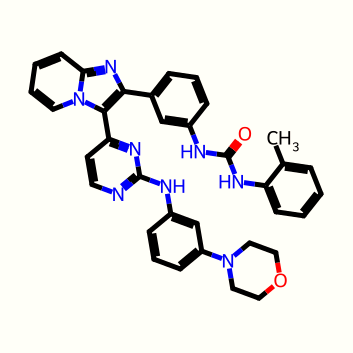 Cc1ccccc1NC(=O)Nc1cccc(-c2nc3ccccn3c2-c2ccnc(Nc3cccc(N4CCOCC4)c3)n2)c1